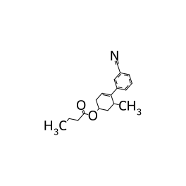 CCCC(=O)OC1CC=C(c2cccc(C#N)c2)C(C)C1